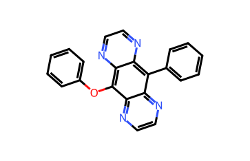 c1ccc(Oc2c3nccnc3c(-c3ccccc3)c3nccnc23)cc1